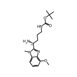 COc1cccc2c1nc([C@@H](N)CCCNC(=O)OC(C)(C)C)n2C